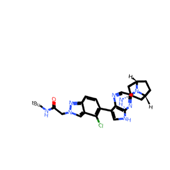 CC(C)(C)NC(=O)Cn1cc2c(Cl)c(-c3c[nH]c4nc(N5[C@@H]6CC[C@H]5C[C@@H](N)C6)cnc34)ccc2n1